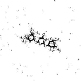 CC1(C)CC(Oc2nc(Cl)nc(OC3CC(C)(C)NC(C)(C)C3)n2)CC(C)(C)N1